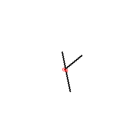 CCCCCCCCCCCCCCCCCCOC(=O)C(CCCCCCCCCCCCCC)CCCCCCCCCCCCCCCCCC